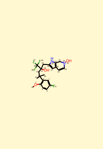 COc1ccc(F)cc1C(C)(C)CC(O)(Cc1cc2c([nH]1)CN(O)C=C2)C(F)(F)F